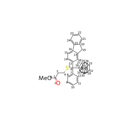 COC(=O)CCSC(c1ccccc1)(c1ccc2c(c1)Cc1ccccc1-2)[C]12[CH]3[CH]4[CH]5[CH]1[Fe]45321678[CH]2[CH]1[CH]6[CH]7[CH]28